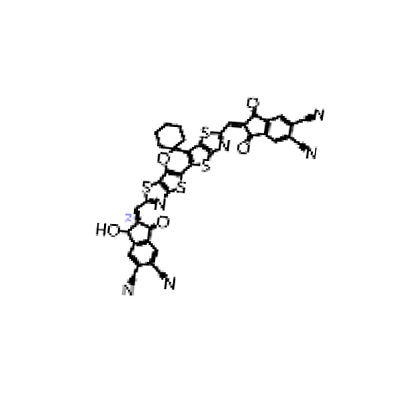 N#Cc1cc2c(cc1C#N)C(=O)C(=Cc1nc3sc4c(c3s1)C1(CCCCC1)Oc1c-4sc3nc(/C=C4\C(=O)c5cc(C#N)c(C#N)cc5C4O)sc13)C2=O